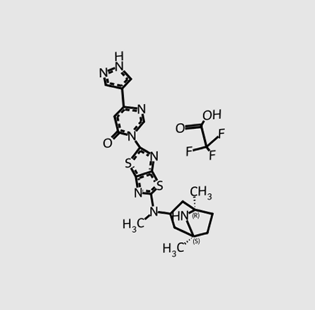 CN(c1nc2sc(-n3cnc(-c4cn[nH]c4)cc3=O)nc2s1)C1C[C@]2(C)CC[C@](C)(C1)N2.O=C(O)C(F)(F)F